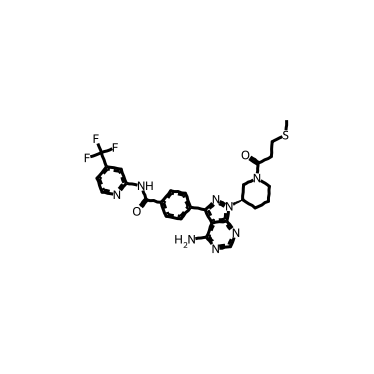 CSCCC(=O)N1CCC[C@@H](n2nc(-c3ccc(C(=O)Nc4cc(C(F)(F)F)ccn4)cc3)c3c(N)ncnc32)C1